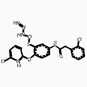 N=NNOSc1cc(NC(=O)Cc2ccccc2Cl)ccc1OC1C=CC=C(Cl)N1